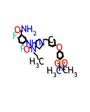 CCCCN(C(=O)Nc1cc(C(N)=O)c(F)cc1F)C1CCN(Cc2ccc(Oc3ccc(S(=O)(=O)N(C)C)cc3)cc2)CC1